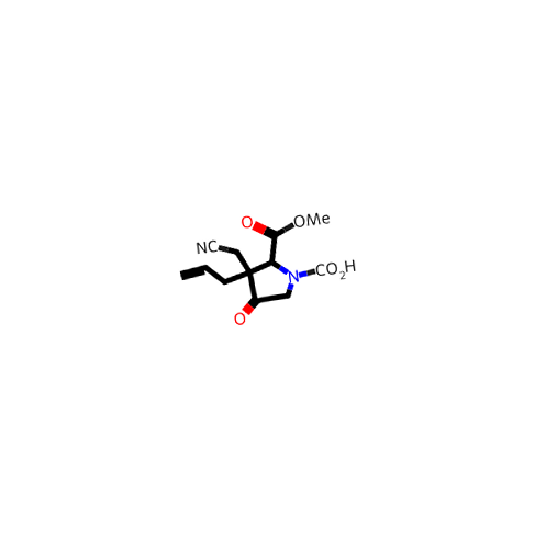 C=CCC1(CC#N)C(=O)CN(C(=O)O)C1C(=O)OC